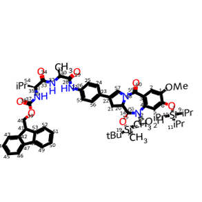 COc1cc2c(cc1O[Si](C(C)C)(C(C)C)C(C)C)N(C(=O)O)[C@@H](O[Si](C)(C)C(C)(C)C)C1CC(c3ccc(NC(=O)[C@H](C)NC(=O)[C@@H](NC(=O)OCC4c5ccccc5-c5ccccc54)C(C)C)cc3)=CN1C2=O